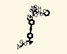 CN(C)CC(=O)OCC1(c2ccc(C#Cc3ccc4c(cnn4CCC(C)(C(=O)NOC4CCCCO4)S(C)(=O)=O)c3)cc2)CC1